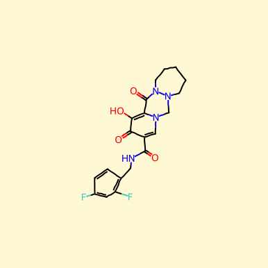 O=C(NCc1ccc(F)cc1F)c1cn2c(c(O)c1=O)C(=O)N1CCCCCN1C2